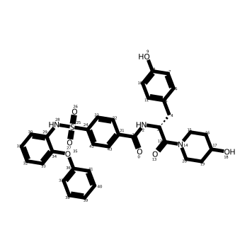 O=C(N[C@H](Cc1ccc(O)cc1)C(=O)N1CCC(O)CC1)c1ccc(S(=O)(=O)Nc2ccccc2Oc2ccccc2)cc1